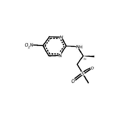 C[C@@H](CS(C)(=O)=O)Nc1ncc([N+](=O)[O-])cn1